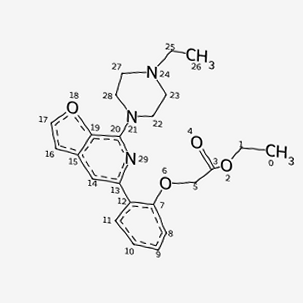 CCOC(=O)COc1ccccc1-c1cc2ccoc2c(N2CCN(CC)CC2)n1